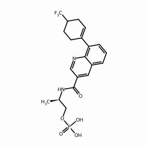 C[C@H](COP(=O)(O)O)NC(=O)c1cnc2c(C3=CCC(C(F)(F)F)CC3)cccc2c1